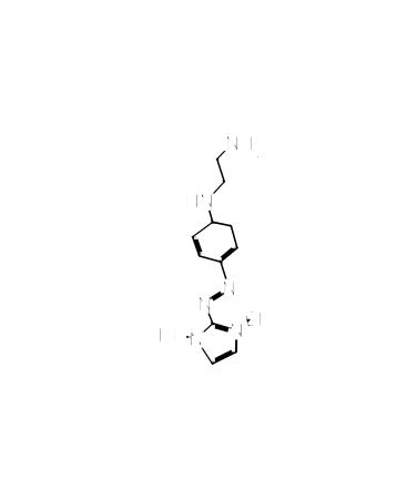 Cn1cc[n+](C)c1N=NC1=CCC(NCCN)C=C1